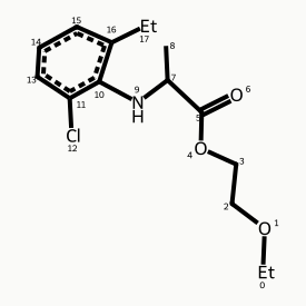 CCOCCOC(=O)C(C)Nc1c(Cl)cccc1CC